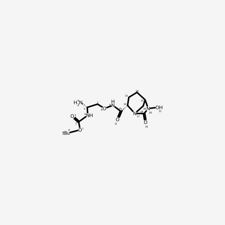 CC(C)(C)OC(=O)N[C@H](N)CONC(=O)[C@@H]1CCC2CN1C(=O)N2O